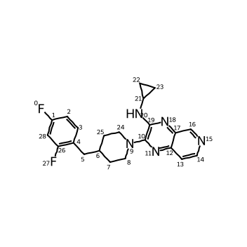 Fc1ccc(CC2CCN(c3nc4ccncc4nc3NC3CC3)CC2)c(F)c1